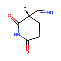 C[C@@]1(C=N)CCC(=O)NC1=O